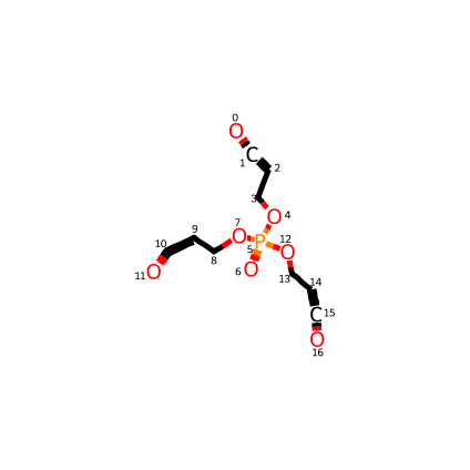 O=C=CCOP(=O)(OCC=C=O)OCC=C=O